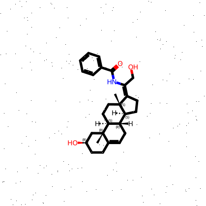 C[C@]12C[C@H](O)CCC1=CC[C@@H]1[C@@H]2CC[C@]2(C)C(=C(CO)NC(=O)c3ccccc3)CC[C@@H]12